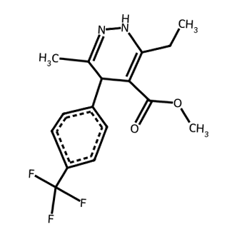 CCC1=C(C(=O)OC)C(c2ccc(C(F)(F)F)cc2)C(C)=NN1